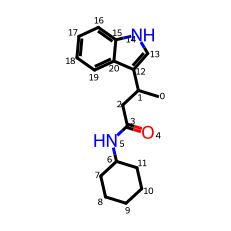 CC(CC(=O)NC1CCCCC1)c1c[nH]c2ccccc12